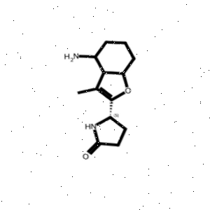 CC1=C([C@@H]2CCC(=O)N2)OC2CCCC(N)C12